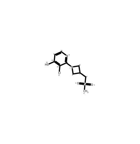 CS(=O)(=O)CC1CN(c2nccc(S)c2Cl)C1